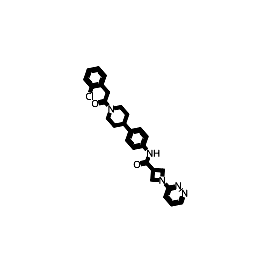 O=C(Nc1ccc(C2CCN(C(=O)Cc3ccccc3Cl)CC2)cc1)C1CN(c2cccnn2)C1